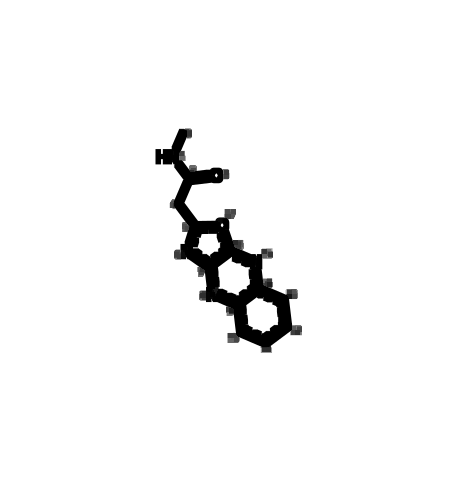 CNC(=O)Cc1nc2nc3ccccc3nc2o1